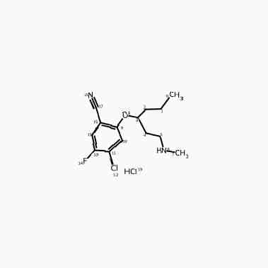 CCCC(CCNC)Oc1cc(Cl)c(F)cc1C#N.Cl